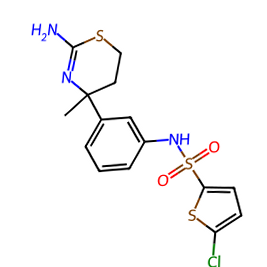 CC1(c2cccc(NS(=O)(=O)c3ccc(Cl)s3)c2)CCSC(N)=N1